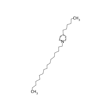 CCCCCCCCCCCCCCCCC[n+]1ccc(CCCCCC)cc1